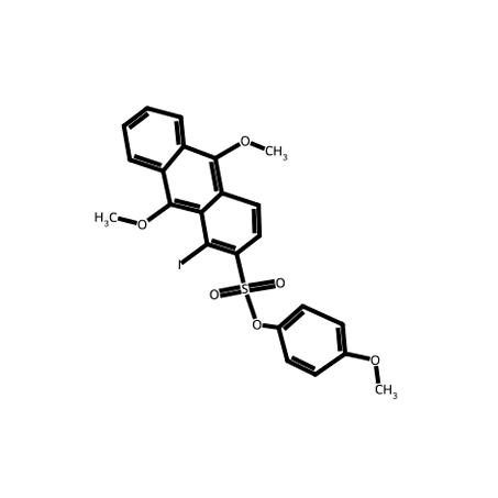 COc1ccc(OS(=O)(=O)c2ccc3c(OC)c4ccccc4c(OC)c3c2I)cc1